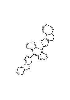 C1#Cc2c(ccc3c2CC(c2c4ccccc4c(-c4ccc5c(c4)oc4ccccc45)c4ccccc24)=C3)C=CC1